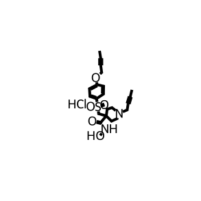 CC#CCOc1ccc(S(=O)(=O)CC2(C(=O)NO)CCN(CC#CC)CC2)cc1.Cl